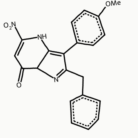 COc1ccc(C2=C3NC([N+](=O)[O-])=CC(=O)C3N=C2Cc2ccccc2)cc1